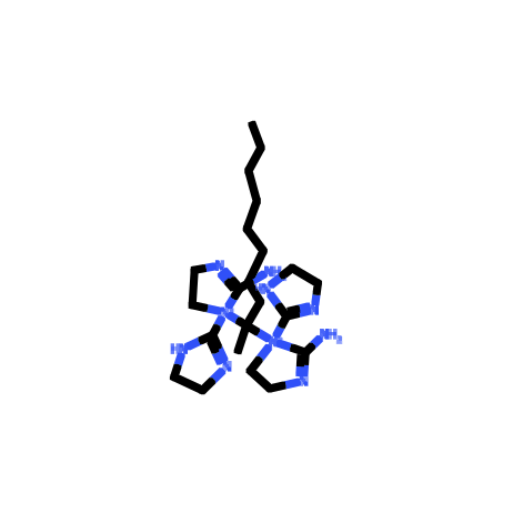 CCCCCCCCC(C)([N+]1(C2=NCCN2)CCN=C1N)[N+]1(C2=NCCN2)CCN=C1N